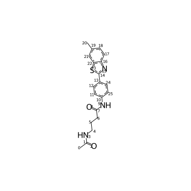 CC(=O)NCCCC(=O)Nc1ccc(-c2nc3ccc(C)cc3s2)cc1